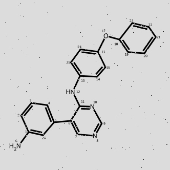 Nc1cccc(-c2cncnc2Nc2ccc(Oc3ccccc3)cc2)c1